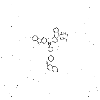 CC1(C)c2ccccc2-c2cc(N(C3=CC=C(c4ccc5c(c4)sc4ccc6ccccc6c45)CC3)c3ccc4c(c3)sc3ccccc34)ccc21